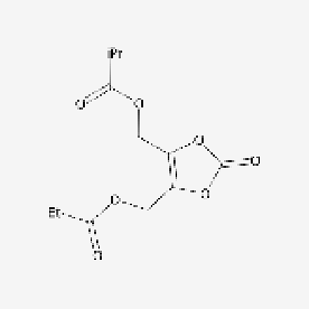 CCC(=O)OCc1oc(=O)oc1COC(=O)C(C)C